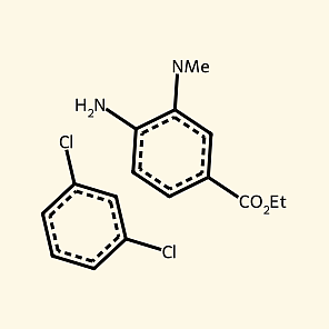 CCOC(=O)c1ccc(N)c(NC)c1.Clc1cccc(Cl)c1